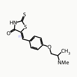 CNC(C)COc1ccc(/C=C2\SC(=S)NC2=O)cc1